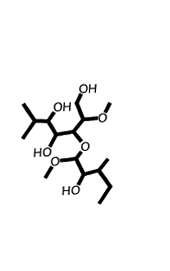 CCC(C)C(O)C(OC)OC(C(CO)OC)C(O)C(O)C(C)C